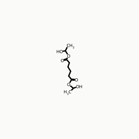 CC(O)OC(=O)CCCCC(=O)OC(C)O